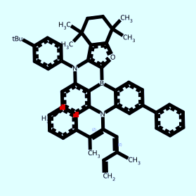 C=C/C(C)=C\C(=C(/C)c1ccccc1)N1c2cc(-c3ccccc3)ccc2B2c3oc4c(c3N(c3ccc(C(C)(C)C)cc3)c3cc(C)cc1c32)C(C)(C)CCC4(C)C